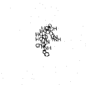 O=P(O)(O)C(CO)(COCc1nn[nH]n1)OC[C@H]1O[C@H](n2ncc3c(N[C@@H]4CCc5ccccc54)nc(Cl)nc32)[C@H](O)[C@@H]1O